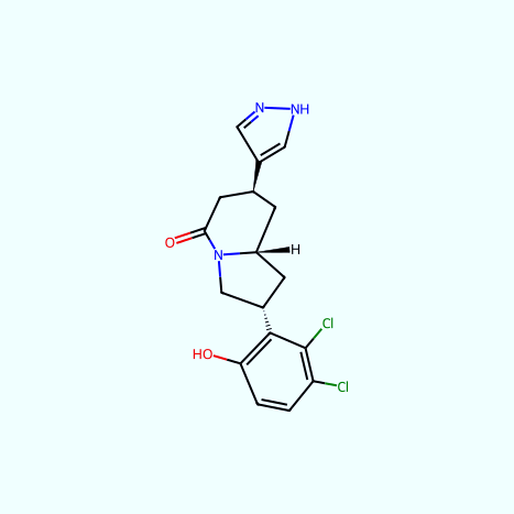 O=C1C[C@@H](c2cn[nH]c2)C[C@@H]2C[C@H](c3c(O)ccc(Cl)c3Cl)CN12